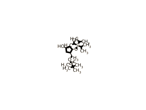 CC(C)[Si](O[C@H]1C[C@H](O)C[C@@H]1CO[Si](C)(C)C(C)(C)C)(C(C)C)C(C)C